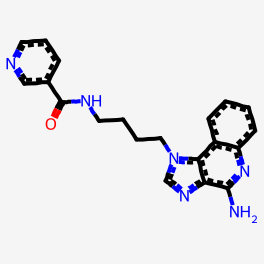 Nc1nc2ccccc2c2c1ncn2CCCCNC(=O)c1cccnc1